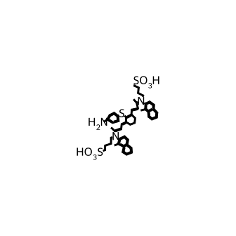 C/C(=C\C=C1/CCCC(/C=C/C(C)N(CCCCS(=O)(=O)O)c2ccc3ccccc3c2C)=C1Sc1ccc(N)cc1)N(CCCCS(=O)(=O)O)c1ccc2ccccc2c1C